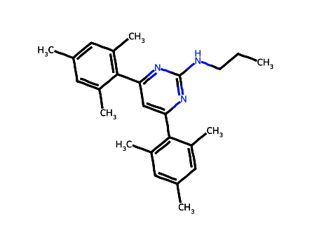 CCCNc1nc(-c2c(C)cc(C)cc2C)cc(-c2c(C)cc(C)cc2C)n1